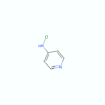 ClNc1ccncc1